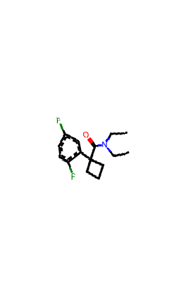 CCN(CC)C(=O)C1(c2cc(F)ccc2F)CCC1